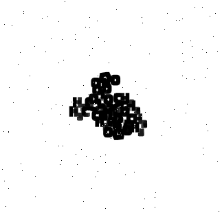 CCC(C)[C@@H]([C@@H](CC(=O)ON1C(=O)CCC1=O)OC)N(C)C(=O)[C@@H](NC(=O)[C@H](C(C)C)N(C)N1C(=O)C=CC1=O)C(C)C